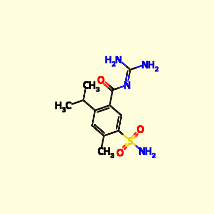 Cc1cc(C(C)C)c(C(=O)N=C(N)N)cc1S(N)(=O)=O